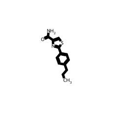 CCCc1ccc(-c2nc(C(N)=O)cs2)cc1